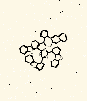 C1=CC2OC3=C(C(c4nc(C5=C(C6CCc7cc8ccccc8cc7C7C=CC=CC67)CCc6c5oc5ccccc65)nc(-c5cccc6oc7c(c56)C=CCC7)n4)CC=C3)C2C=C1